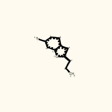 CCCc1cc2[c]cc(F)cc2o1